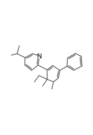 CCC1(C)C(c2ccc(C(C)C)cn2)=CC(c2ccccc2)=CC1C